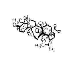 CC(C)[C@@H]1CC[C@]2(C(=O)Cl)CC[C@]3(C)[C@H](CC[C@@H]4[C@@]5(C)CCC(=O)C(C)(C)[C@@H]5CC[C@]43C)[C@@H]12